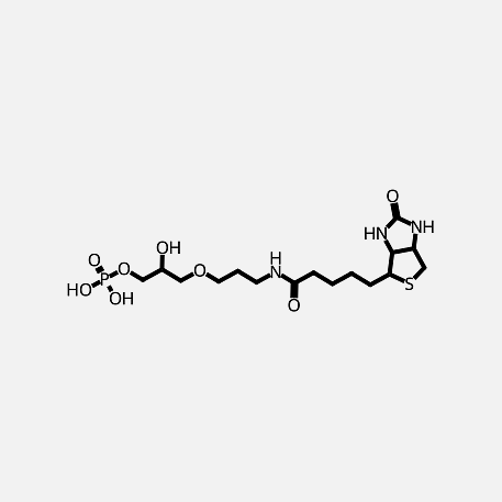 O=C(CCCCC1SCC2NC(=O)NC21)NCCCOCC(O)COP(=O)(O)O